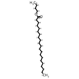 CCCCCCCCCCCCCCCCCCCCC(=O)OCCCC